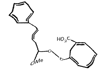 COC(C=Cc1ccccc1)OOc1ccccc1C(=O)O